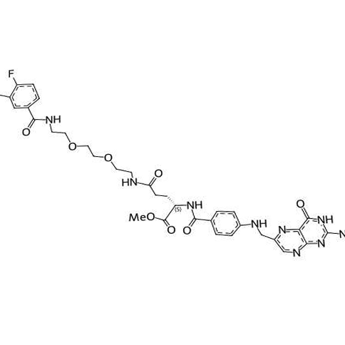 COC(=O)[C@H](CCC(=O)NCCOCCOCCNC(=O)c1ccc(F)c(C#N)c1)NC(=O)c1ccc(NCc2cnc3nc(N)[nH]c(=O)c3n2)cc1